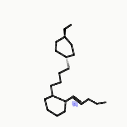 CCC/C=C/C1CCCCC1CCCC[C@H]1CC[C@H](CC)CC1